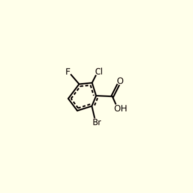 O=C(O)c1c(Br)ccc(F)c1Cl